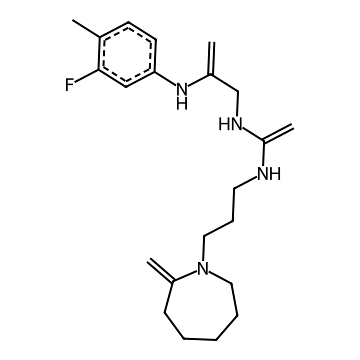 C=C(CNC(=C)NCCCN1CCCCCC1=C)Nc1ccc(C)c(F)c1